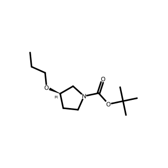 CCCO[C@@H]1CCN(C(=O)OC(C)(C)C)C1